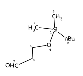 CCCC[Si](C)(C)OCCC=O